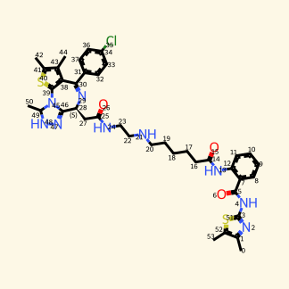 Cc1nc(NC(=O)c2ccccc2NC(=O)CCCCCNCCNC(=O)C[C@@H]2N=C(c3ccc(Cl)cc3)c3c(sc(C)c3C)N3C2=NNC3C)sc1C